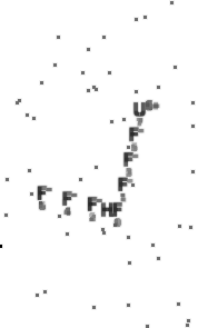 F.[F-].[F-].[F-].[F-].[F-].[F-].[U+6]